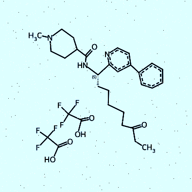 CCC(=O)CCCCC[C@H](NC(=O)C1CCN(C)CC1)c1cc(-c2ccccc2)ccn1.O=C(O)C(F)(F)F.O=C(O)C(F)(F)F